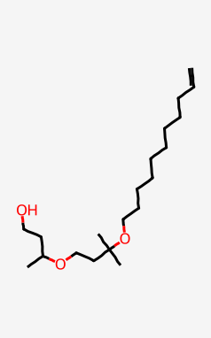 C=CCCCCCCCCCOC(C)(C)CCOC(C)CCO